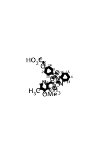 COc1c(C)cnc(C[S+]([O-])c2nc3ccccc3n2S(=O)(=O)c2ccc(OCC(=O)O)cc2)c1C